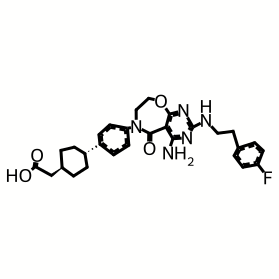 Nc1nc(NCCc2ccc(F)cc2)nc2c1C(=O)N(c1ccc([C@H]3CC[C@H](CC(=O)O)CC3)cc1)CCO2